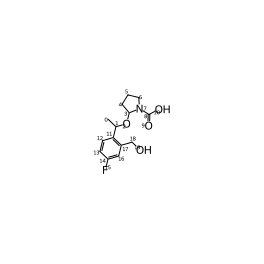 CC(OC1CCCN1C(=O)O)c1ccc(F)cc1CO